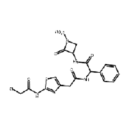 O=C(CCl)Nc1nc(CC(=O)NC(C(=O)NC2CN(S(=O)(=O)O)C2=O)c2ccccc2)cs1